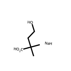 CC(C)(CCO)C(=O)O.[NaH]